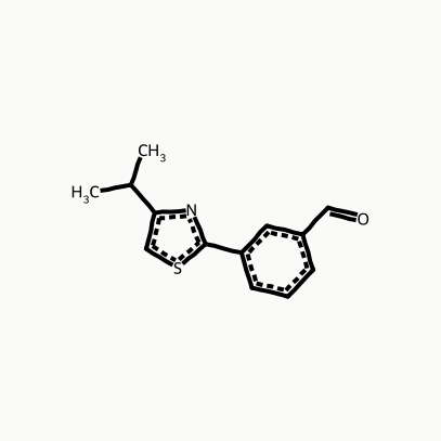 CC(C)c1csc(-c2cccc(C=O)c2)n1